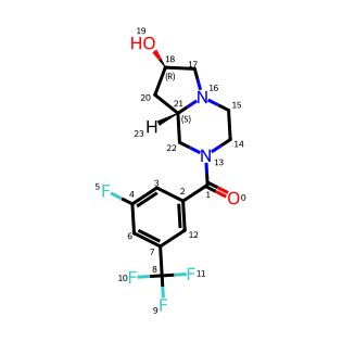 O=C(c1cc(F)cc(C(F)(F)F)c1)N1CCN2C[C@H](O)C[C@H]2C1